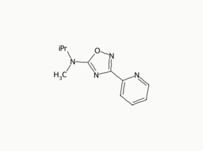 CC(C)N(C)c1nc(-c2ccccn2)no1